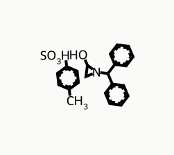 Cc1ccc(S(=O)(=O)O)cc1.OC1CN1C(c1ccccc1)c1ccccc1